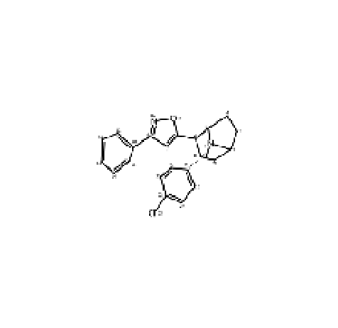 CN1C2CCC1C(c1cc(-c3ccccc3)no1)[C@@H](c1ccc(Cl)cc1)C2